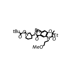 CCC1(C)Oc2cc(Br)c(C(=O)N(C(C)C)C3CCCN(OC(=O)C(C)(C)C)C3)cc2N(CCCOC)C1=O